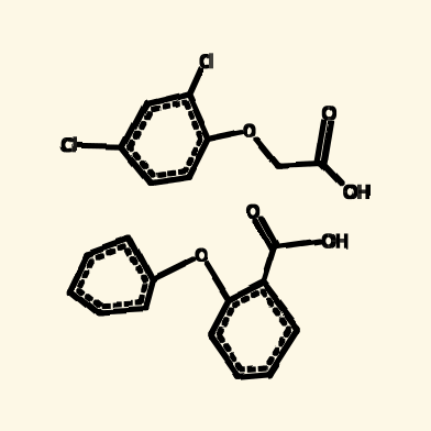 O=C(O)COc1ccc(Cl)cc1Cl.O=C(O)c1ccccc1Oc1ccccc1